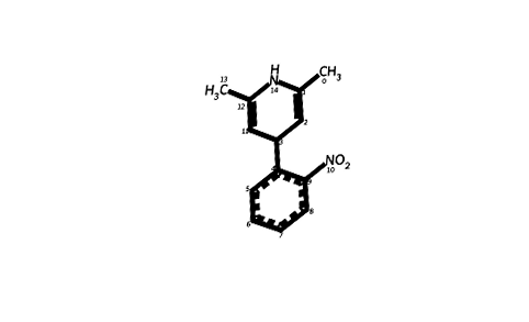 CC1=CC(c2ccccc2[N+](=O)[O-])C=C(C)N1